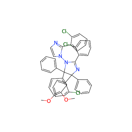 COc1ccc(C2(c3ccccc3)N(n3ccnc3-c3ccccc3Cl)C(c3ccccc3Cl)=NC2(c2ccccc2)c2ccccc2Cl)cc1OC